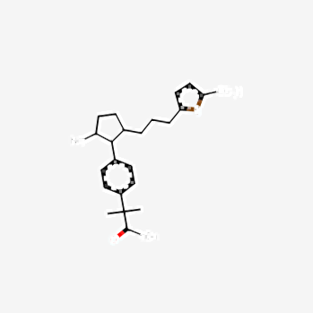 CCCCC(=O)C(C)(C)c1ccc(C2C(C#N)CCC2CCCc2ccc(C(=O)O)s2)cc1